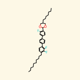 CCCCCCCCCCc1ccc(-c2ccc(-c3ccc(C4OCC(CCCCCCC)CO4)c(F)c3)cc2)c(F)c1F